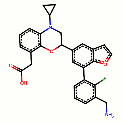 NCc1cccc(-c2cc(C3CN(C4CC4)c4cccc(CC(=O)O)c4O3)cc3ccoc23)c1F